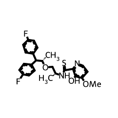 COc1ccnc(C(=S)N[C@H](C)CO[C@@H](C)C(c2ccc(F)cc2)c2ccc(F)cc2)c1O